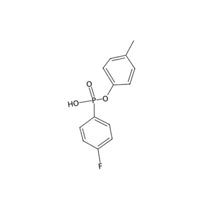 Cc1ccc(OP(=O)(O)c2ccc(F)cc2)cc1